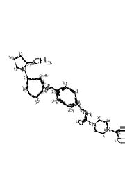 CC(=O)N1CCN(C(=O)Nc2ccc(N3CCC(N4CCCC4C)C3)cc2)CC1